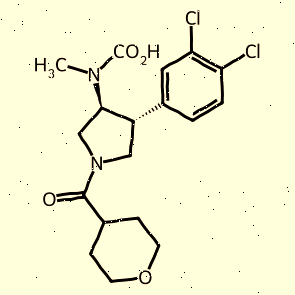 CN(C(=O)O)[C@@H]1CN(C(=O)C2CCOCC2)C[C@H]1c1ccc(Cl)c(Cl)c1